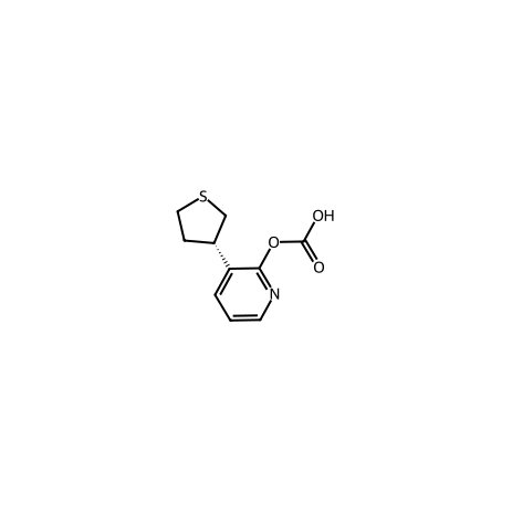 O=C(O)Oc1ncccc1[C@@H]1CCSC1